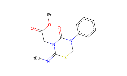 CC(C)OC(=O)CN1C(=O)N(c2ccccc2)CSC1=NC(C)(C)C